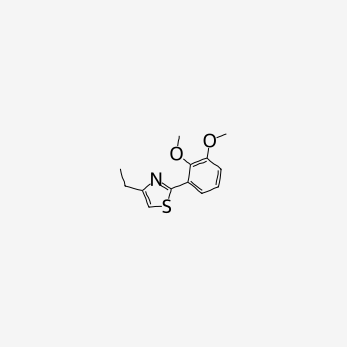 CCc1csc(-c2cccc(OC)c2OC)n1